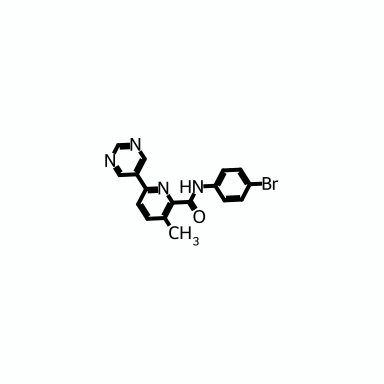 Cc1ccc(-c2cncnc2)nc1C(=O)Nc1ccc(Br)cc1